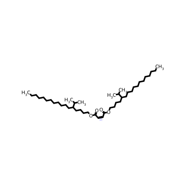 CCCCCCCCCCCCC(CCCCOC(=O)/C=C\C(=O)OCCCCC(CCCCCCCCCCCC)C(C)C)C(C)C